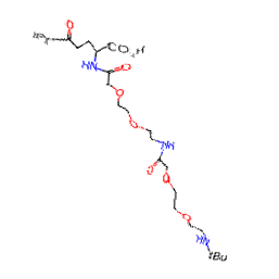 CC(C)C(=O)CCC(NC(=O)COCCOCCNC(=O)COCCOCCNC(C)(C)C)C(=O)O